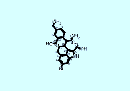 NCc1ccc(C(C(N)=O)C2CCc3cc(Br)cc4[nH]c(C(=O)O)c2c34)c(C(=O)O)c1